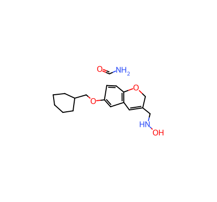 NC=O.ONCC1=Cc2cc(OCC3CCCCC3)ccc2OC1